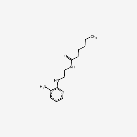 CCCCCC(=O)NCCNc1ccccc1N